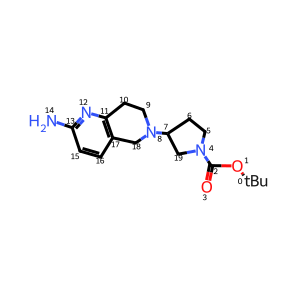 CC(C)(C)OC(=O)N1CCC(N2CCc3nc(N)ccc3C2)C1